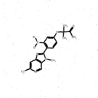 CC[S+]([O-])c1cc(OC(C)(C)C(N)=O)ccc1-c1nc2cc(C(F)(F)F)ncc2n1C